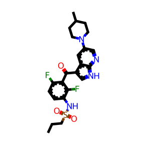 CCCS(=O)(=O)Nc1ccc(F)c(C(=O)c2c[nH]c3ncc(N4CCC(C)CC4)cc23)c1F